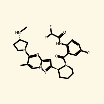 CN[C@H]1CCN(c2nc3cc([C@@H]4CCCCN4C(=O)c4cc(Cl)ccc4NC(=O)C(F)F)nn3cc2C)C1